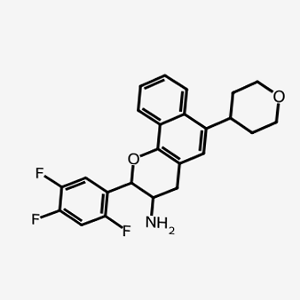 NC1Cc2cc(C3CCOCC3)c3ccccc3c2OC1c1cc(F)c(F)cc1F